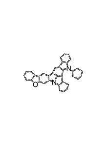 c1ccc(-n2c3ccccc3c3cc4c5cc6c(cc5n5c7ccccc7c(c32)c45)oc2ccccc26)cc1